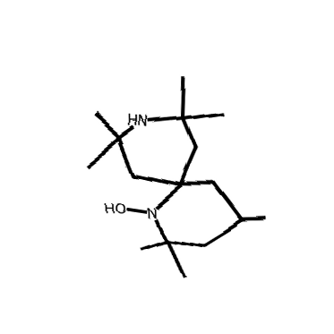 CC1CC(C)(C)N(O)C2(C1)CC(C)(C)NC(C)(C)C2